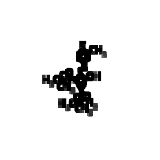 Cc1cc(SCC2C(O)C3C(C(=O)OC(C)(C)C)C3C2C(=O)OC(C)(C)C)ccc1F